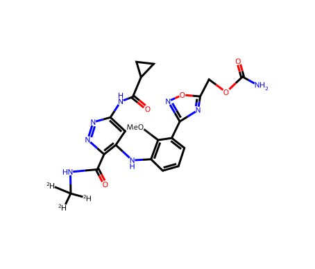 [2H]C([2H])([2H])NC(=O)c1nnc(NC(=O)C2CC2)cc1Nc1cccc(-c2noc(COC(N)=O)n2)c1OC